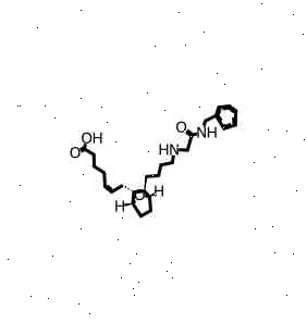 O=C(O)CCC/C=C\C[C@@H]1[C@@H](CCCCNCC(=O)NCc2ccccc2)[C@@H]2CC[C@H]1O2